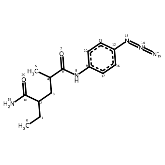 CCC(CC(C)C(=O)Nc1ccc(N=[N+]=[N-])cc1)C(N)=O